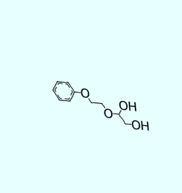 OCC(O)OCCOc1ccccc1